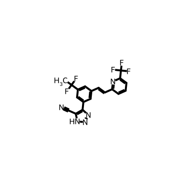 CC(F)(F)c1cc(/C=C/c2cccc(C(F)(F)F)n2)cc(-c2nn[nH]c2C#N)c1